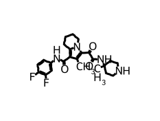 Cc1c(C(=O)Nc2ccc(F)c(F)c2)c2n(c1C(=O)C(=O)NC1(C)CCNCC1)CCCC2